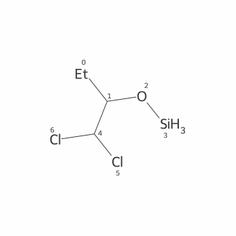 CCC(O[SiH3])C(Cl)Cl